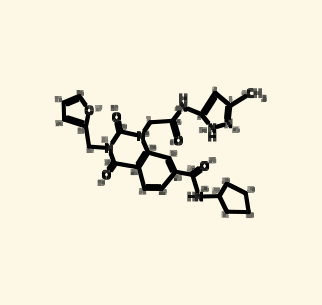 Cc1cc(NC(=O)Cn2c(=O)n(Cc3ccco3)c(=O)c3ccc(C(=O)NC4CCCC4)cc32)[nH]n1